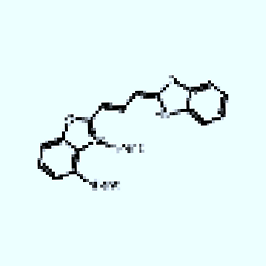 CCCCCc1cccc2oc(C=CC=C3Nc4ccccc4O3)[n+](CCCCC)c12